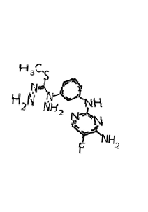 CS/C(=N/N)N(N)c1cccc(Nc2ncc(F)c(N)n2)c1